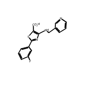 O=C(O)c1sc(-c2cccc(F)c2)nc1NCc1cccnc1